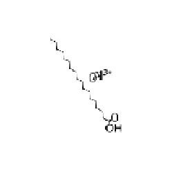 CCCCCCCCCCCCCCCCCC(=O)O.[Al+3].[O-2]